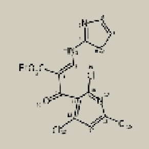 CCOC(=O)C(=CNc1nccs1)C(=O)c1c(Cl)cc(Cl)nc1Cl